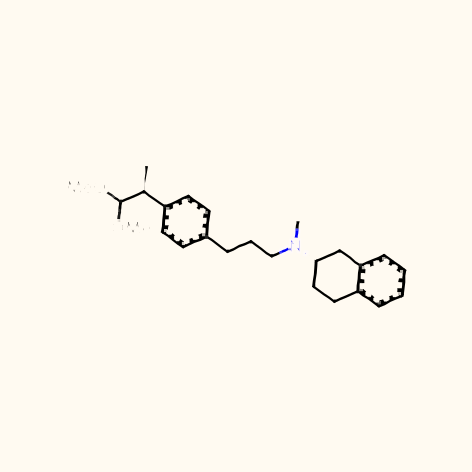 COC(OC)[C@@H](C)c1ccc(CCCN(C)[C@H]2CCc3ccccc3C2)cc1